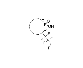 O=P1(O)OCCCCCCCC(C(F)(F)C(F)(F)CF)O1